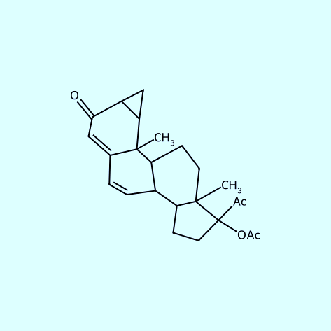 CC(=O)OC1(C(C)=O)CCC2C3C=CC4=CC(=O)C5CC5C4(C)C3CCC21C